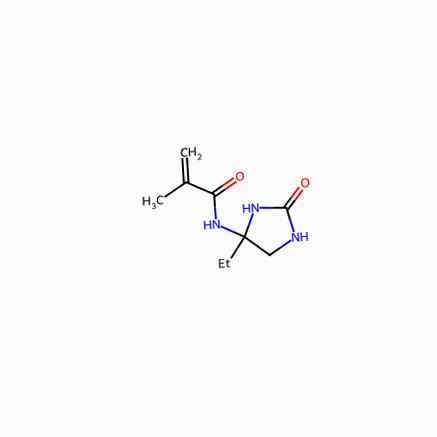 C=C(C)C(=O)NC1(CC)CNC(=O)N1